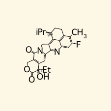 CC[C@@]1(O)C(=O)OCc2c1cc1n(c2=O)Cc2c-1nc1cc(F)c(C)c3c1c2[C@@H](C(C)C)CC3